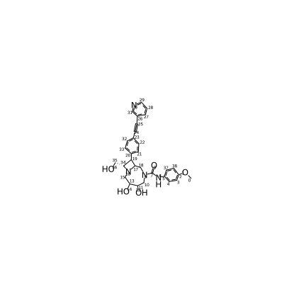 COc1ccc(NC(=O)N2CC(O)C(O)CN3C(C2)C(c2ccc(C#Cc4cccnc4)cc2)[C@H]3CO)cc1